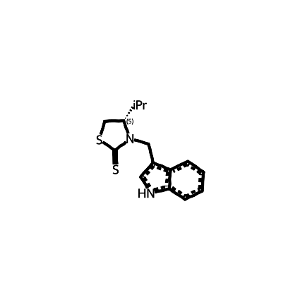 CC(C)[C@H]1CSC(=S)N1Cc1c[nH]c2ccccc12